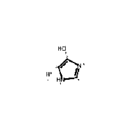 Cl.[H+].c1c[nH]cn1